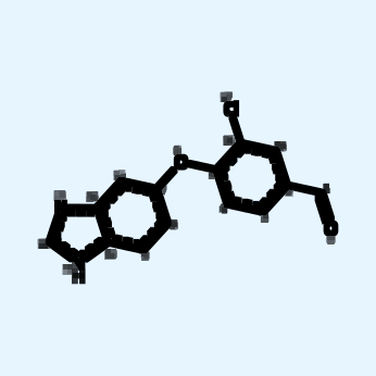 O=Cc1ccc(Oc2ccc3[nH]cnc3c2)c(Cl)c1